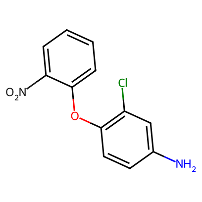 Nc1ccc(Oc2ccccc2[N+](=O)[O-])c(Cl)c1